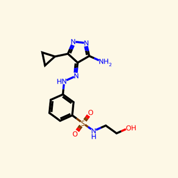 NC1=NN=C(C2CC2)/C1=N\Nc1cccc(S(=O)(=O)NCCO)c1